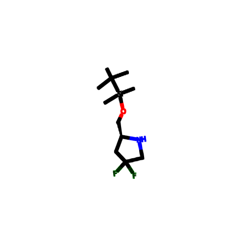 CC(C)(C)[Si](C)(C)OC[C@@H]1CC(F)(F)CN1